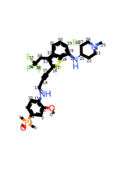 COc1cc(P(C)(C)=O)ccc1NCC#Cc1sc2c(N[C@H]3CCN(C)C[C@H]3F)cccc2c1CC(F)(F)F